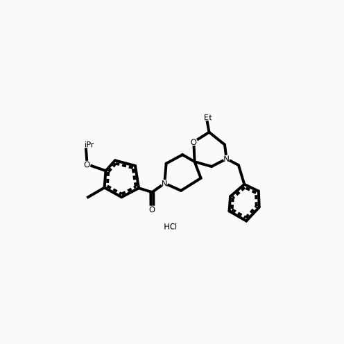 CCC1CN(Cc2ccccc2)CC2(CCN(C(=O)c3ccc(OC(C)C)c(C)c3)CC2)O1.Cl